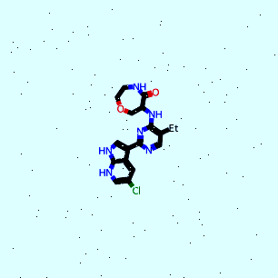 CCc1cnc(C2=CNC3NC=C(Cl)C=C23)nc1NC1COCCNC1=O